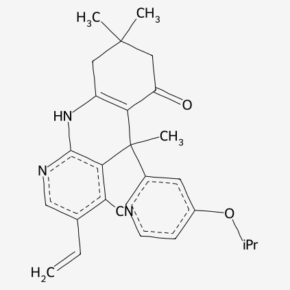 C=Cc1cnc2c(c1C#N)C(C)(c1cccc(OC(C)C)c1)C1=C(CC(C)(C)CC1=O)N2